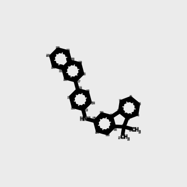 CC1(C)c2ccccc2-c2cc(Nc3ccc(-c4ccc5ccccc5c4)cc3)ccc21